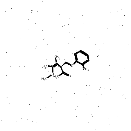 CO/C(C)=C(/C)[C@@H](COc1ccccc1C)C(C)=O